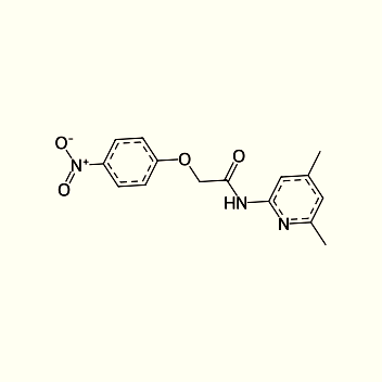 Cc1cc(C)nc(NC(=O)COc2ccc([N+](=O)[O-])cc2)c1